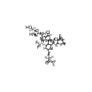 CC(C)(O)C1NN=C(Nc2nn(CC(F)F)c3c(-c4ccc(C#CC(C)(C)[S+]([O-])C5CC5)nc4C(Cc4cc(F)cc(F)c4)NC=O)ccc(Cl)c23)O1